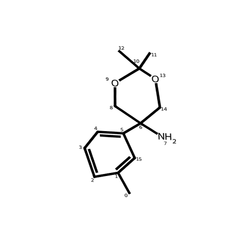 Cc1cccc(C2(N)COC(C)(C)OC2)c1